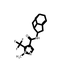 Cn1ncc(C(=O)NC2CC3=CCC4CC3C2C4)c1C(F)(F)F